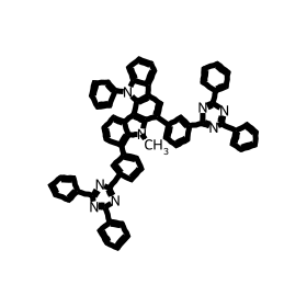 Cn1c2c(-c3cccc(-c4nc(-c5ccccc5)nc(-c5ccccc5)n4)c3)cccc2c2c1c(-c1cccc(-c3nc(-c4ccccc4)nc(-c4ccccc4)n3)c1)cc1c3ccccc3n(-c3ccccc3)c12